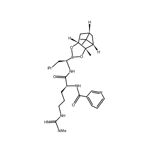 CNC(=N)NCCC[C@H](NC(=O)c1cccnc1)C(=O)N[C@@H](CC(C)C)B1O[C@@H]2C[C@@H]3C[C@@H](C3(C)C)[C@]2(C)O1